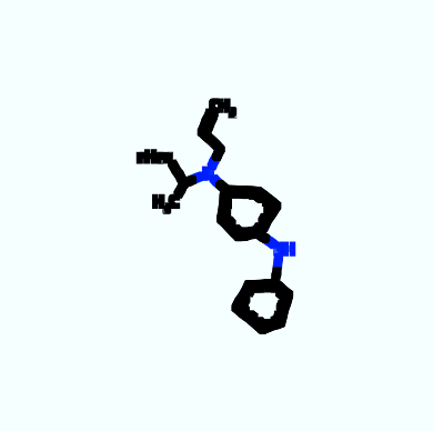 C=CCN(c1ccc(Nc2ccccc2)cc1)C(C)CCCCCC